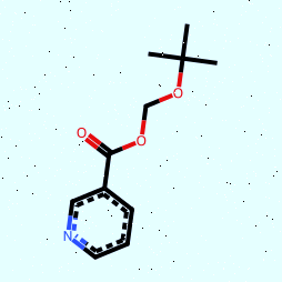 CC(C)(C)OCOC(=O)c1cccnc1